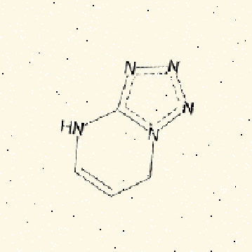 C1=CNc2nnnn2C1